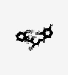 CN(CCOc1ccc(F)cc1C(C)(C)C)C(=O)NC1(C)C=CC=CC1C(=O)O